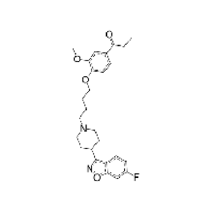 CCC(=O)c1ccc(OCCCCN2CCC(c3noc4cc(F)ccc34)CC2)c(OC)c1